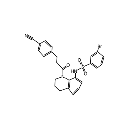 N#Cc1ccc(CCC(=O)N2CCCc3cccc(NS(=O)(=O)c4cccc(Br)c4)c32)cc1